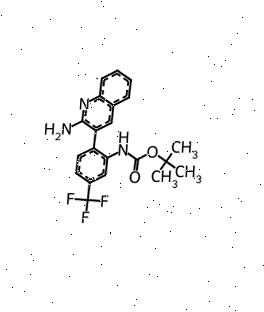 CC(C)(C)OC(=O)Nc1cc(C(F)(F)F)ccc1-c1cc2ccc[c]c2nc1N